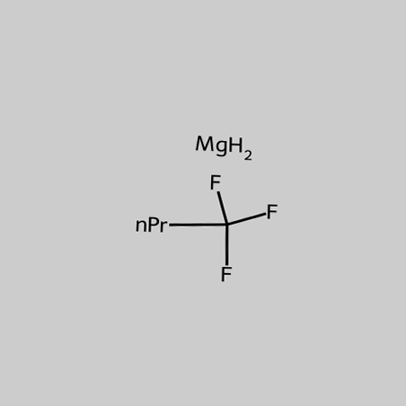 [CH2]CCC(F)(F)F.[MgH2]